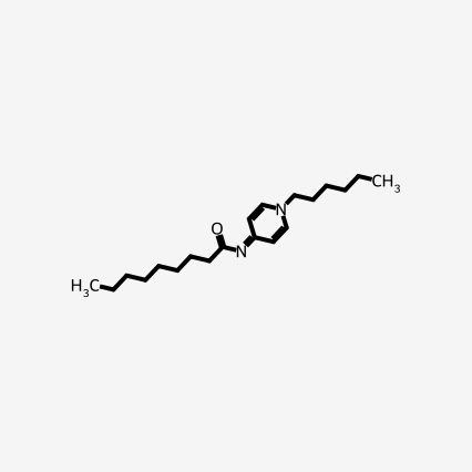 CCCCCCCCC(=O)N=c1ccn(CCCCCC)cc1